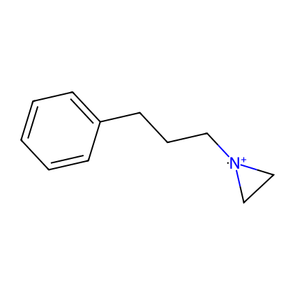 c1ccc(CCC[N+]2CC2)cc1